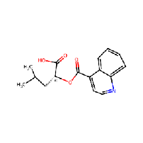 CC(C)C[C@@H](OC(=O)c1ccnc2ccccc12)C(=O)O